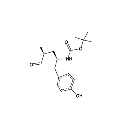 C[C@H](C=O)C[C@H](Cc1ccc(O)cc1)NC(=O)OC(C)(C)C